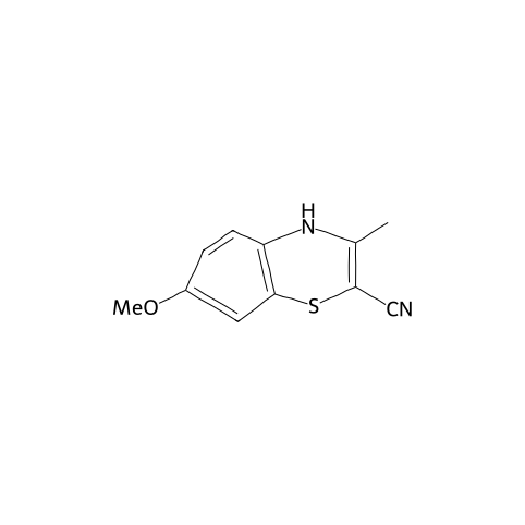 COc1ccc2c(c1)SC(C#N)=C(C)N2